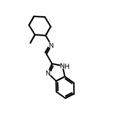 CC1CCCCC1/N=C/c1nc2ccccc2[nH]1